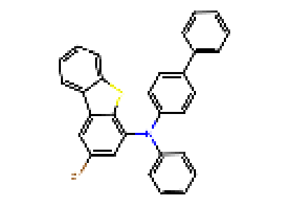 Brc1cc(N(c2ccccc2)c2ccc(-c3ccccc3)cc2)c2sc3ccccc3c2c1